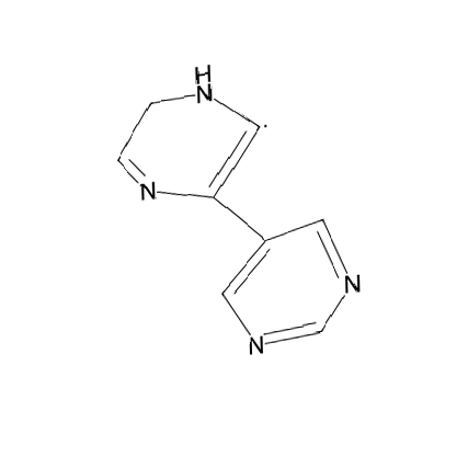 [C]1=C(c2cncnc2)N=CCN1